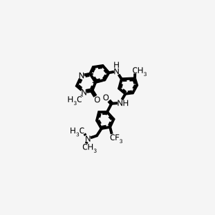 Cc1ccc(NC(=O)c2ccc(CN(C)C)c(C(F)(F)F)c2)cc1Nc1ccc2ncn(C)c(=O)c2c1